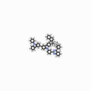 CC1(C)c2cc3c(cc2-c2c1ccc1ccccc21)c1cc(-c2ccc4c(c2)c2ccccc2n4-c2ccccc2)ccc1n3-c1cccc(-c2nc(-c3ccccc3)c3ccccc3n2)c1